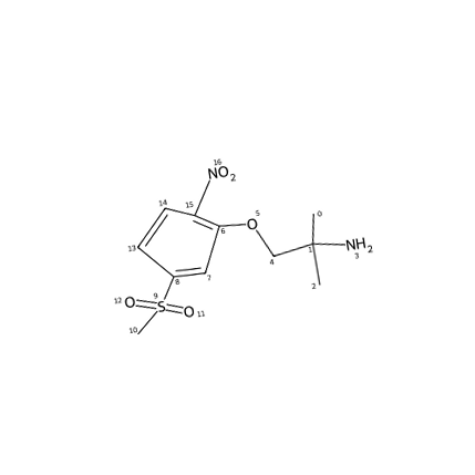 CC(C)(N)COc1cc(S(C)(=O)=O)ccc1[N+](=O)[O-]